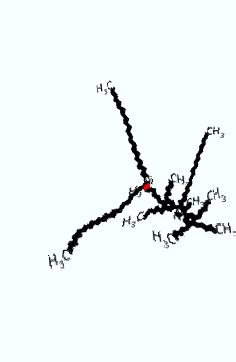 CCCCCCCCCCCCCCCCCCCCC1=C(c2cc(CCCCCC)c(CCCCCC)c(CCCCCC)c2)[N+](=[N-])C(c2cc(CCCCCC)c(CCCCCC)c(CCCCCC)c2)=C1CC.CCCCCCCCCCCCCCCCCCCCCCC[CH2][Ni][CH2]CCCCCCCCCCCCCCCCCCCCCCC